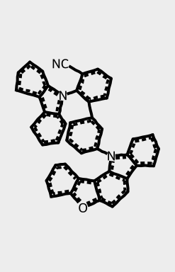 N#Cc1cccc(-c2cccc(-n3c4ccccc4c4ccc5oc6ccccc6c5c43)c2)c1-n1c2ccccc2c2ccccc21